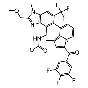 COCc1nc2c(CNC(=O)O)c(-c3cccn4c(C(=O)c5cc(F)c(F)c(F)c5)cc(I)c34)c(C(F)(F)F)cc2n1C